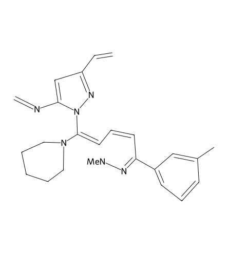 C=Cc1cc(N=C)n(\C(=C/C=C\C(=N/NC)c2cccc(C)c2)N2CCCCC2)n1